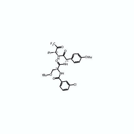 COc1ccc([C@H](NC(=O)[C@H](COC(C)(C)C)NC(=O)c2cccc(Cl)c2)C(=O)N[C@H](C(=O)C(F)(F)F)C(C)C)cc1